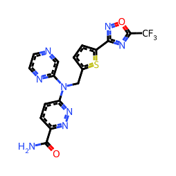 NC(=O)c1ccc(N(Cc2ccc(-c3noc(C(F)(F)F)n3)s2)c2cnccn2)nn1